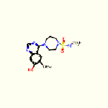 COc1cc2c(N3CCCN(S(=O)(=O)NC(=O)O)CC3)ncnc2cc1O